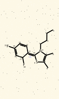 CCCCN1C(C)=C(C)S/C1=C1/[C]=CC(F)=CC1F